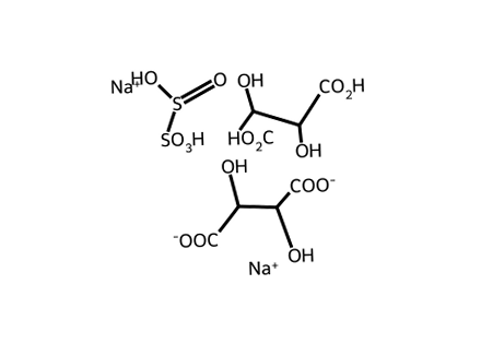 O=C(O)C(O)C(O)C(=O)O.O=C([O-])C(O)C(O)C(=O)[O-].O=S(O)S(=O)(=O)O.[Na+].[Na+]